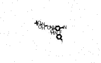 CC(C)(C)OC(=O)NCCONC(=O)c1ccc(C#N)cc1Nc1ccc(I)cc1F